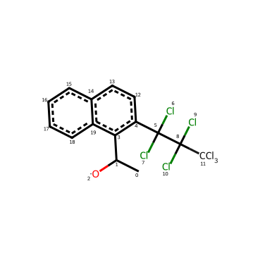 CC([O])c1c(C(Cl)(Cl)C(Cl)(Cl)C(Cl)(Cl)Cl)ccc2ccccc12